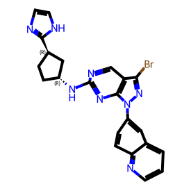 Brc1nn(-c2ccc3ncccc3c2)c2nc(N[C@@H]3CC[C@@H](c4ncc[nH]4)C3)ncc12